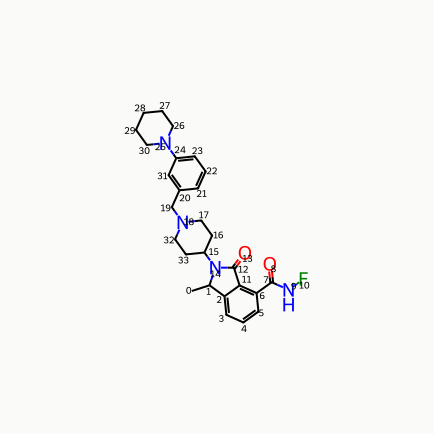 CC1c2cccc(C(=O)NF)c2C(=O)N1C1CCN(Cc2cccc(N3CCCCC3)c2)CC1